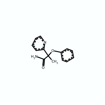 CC(Oc1ccccc1)(C(N)=O)c1ccccn1